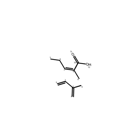 C=CC(=C)C.CCC=C(C)C(=O)O